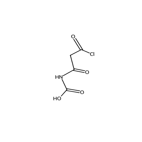 O=C(Cl)CC(=O)NC(=O)O